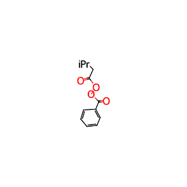 CC(C)CC(=O)OOC(=O)c1ccccc1